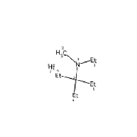 CCN(C)C(CC)(CC)CC.[Hf]